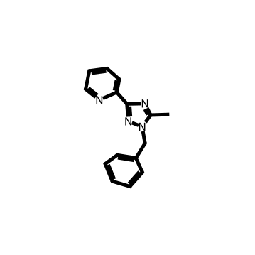 Cc1nc(-c2ccccn2)nn1Cc1ccccc1